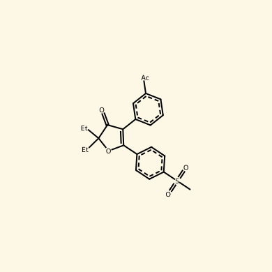 CCC1(CC)OC(c2ccc(S(C)(=O)=O)cc2)=C(c2cccc(C(C)=O)c2)C1=O